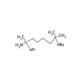 CCCCC(C)(C)CCCCC(C)(N)CCC